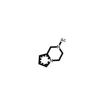 CC(=O)N1CCn2cccc2C1